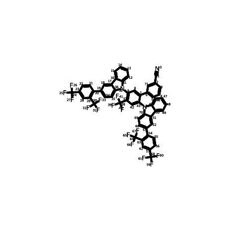 N#Cc1cccc(-c2cc(-n3c4ccccc4c4cc(-c5ccc(C(F)(F)F)cc5C(F)(F)F)ccc43)c(C(F)(F)F)cc2-n2c3ccccc3c3cc(-c4ccc(C(F)(F)F)cc4C(F)(F)F)ccc32)c1